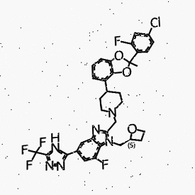 CC1(c2ccc(Cl)cc2F)Oc2cccc(C3CCN(Cc4nc5cc(-c6nnc(C(F)(F)F)[nH]6)cc(F)c5n4C[C@@H]4CCO4)CC3)c2O1